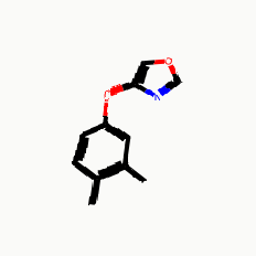 Cc1ccc(Oc2co[c]n2)cc1C